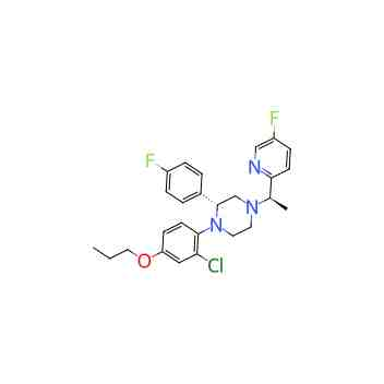 CCCOc1ccc(N2CCN([C@H](C)c3ccc(F)cn3)C[C@H]2c2ccc(F)cc2)c(Cl)c1